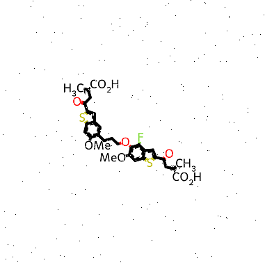 COc1cc2sc(C(=O)C[C@@H](C)C(=O)O)cc2cc1CCCOc1c(OC)cc2sc(C(=O)C[C@H](C)C(=O)O)cc2c1F